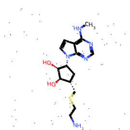 CNc1ncnc2c1ccn2[C@@H]1C[C@H](CSCCN)[C@@H](O)[C@H]1O